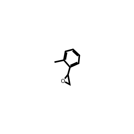 Cc1ccccc1C1CO1